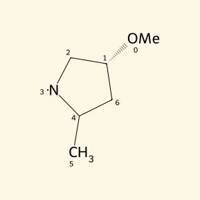 CO[C@H]1C[N]C(C)C1